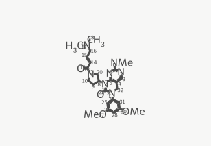 CNc1ncc2c(n1)N(C1CCN(C(=O)/C=C/CN(C)C)C1)C(=O)N(c1cc(OC)cc(OC)c1)C2